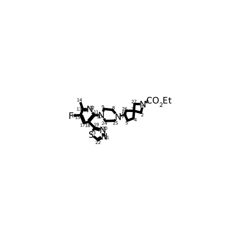 CCOC(=O)N1CC2(CC[C@@H](N3CCN(c4nc(C)c(F)cc4-c4nncs4)CC3)C2)C1